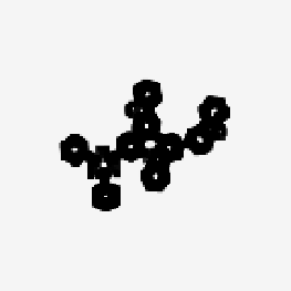 c1ccc(-c2nc(-c3ccccc3)nc(-c3cccc(-n4c5ccccc5c5cc(-c6ccc7oc8ccccc8c7c6)cc(-c6ccc7oc8ccccc8c7c6)c54)c3)n2)cc1